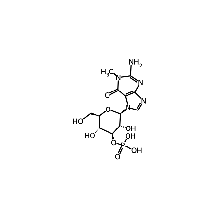 Cn1c(N)nc2ncn([C@@H]3O[C@H](CO)[C@@H](O)[C@H](OP(=O)(O)O)[C@H]3O)c2c1=O